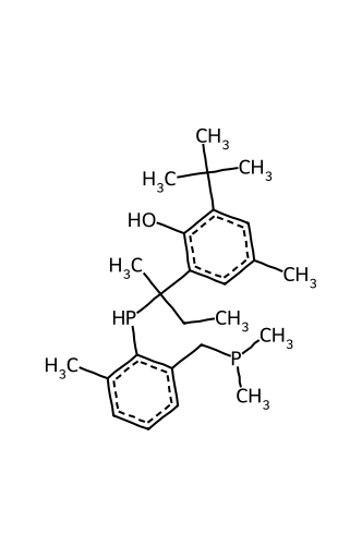 CCC(C)(Pc1c(C)cccc1CP(C)C)c1cc(C)cc(C(C)(C)C)c1O